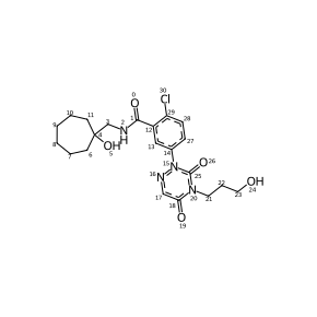 O=C(NCC1(O)CCCCCC1)c1cc(-n2ncc(=O)n(CCCO)c2=O)ccc1Cl